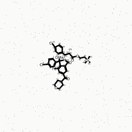 COC1(c2ccc(Cl)cc2)c2c(F)cc(C(=O)C3CCOCC3)cc2C(=O)N1[C@H](c1ccc(Cl)cc1)[C@H](C)C(=O)OCC[Si](C)(C)C